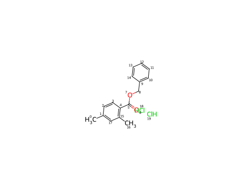 Cc1ccc(C(=O)OCc2ccccc2)c(C)c1.Cl.Cl